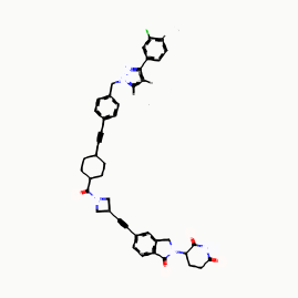 Cc1c(-c2ccc(C#N)c(Cl)c2)nn(Cc2ccc(C#CC3CCC(C(=O)N4CC(C#Cc5ccc6c(c5)CN(C5CCC(=O)NC5=O)C6=O)C4)CC3)cc2)c1C